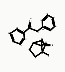 CC12CCC(CC1=O)C2(C)C.O=C(Cc1ccccc1)c1ccccc1